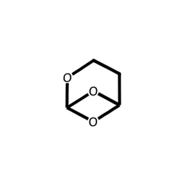 C1CC2OC(O1)O2